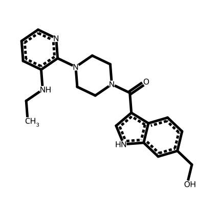 CCNc1cccnc1N1CCN(C(=O)c2c[nH]c3cc(CO)ccc23)CC1